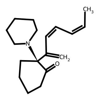 C=C(/C=C\C=C/C)[C@@]1(N2CCCCC2)CCCCC1=O